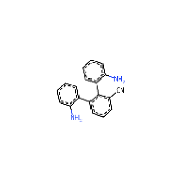 N#Cc1cccc(-c2ccccc2N)c1-c1ccccc1N